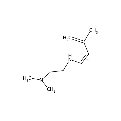 C=C(C)/C=C\NCCN(C)C